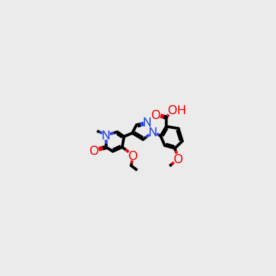 CCOc1cc(=O)n(C)cc1-c1cnn(-c2cc(OC)ccc2C(=O)O)c1